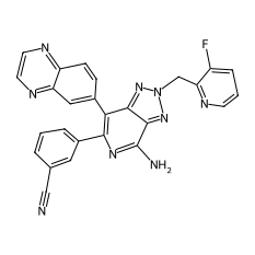 N#Cc1cccc(-c2nc(N)c3nn(Cc4ncccc4F)nc3c2-c2ccc3nccnc3c2)c1